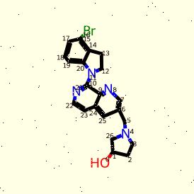 OC1CCN(Cc2cnc3c(N4CCc5c(Br)cccc54)nccc3c2)C1